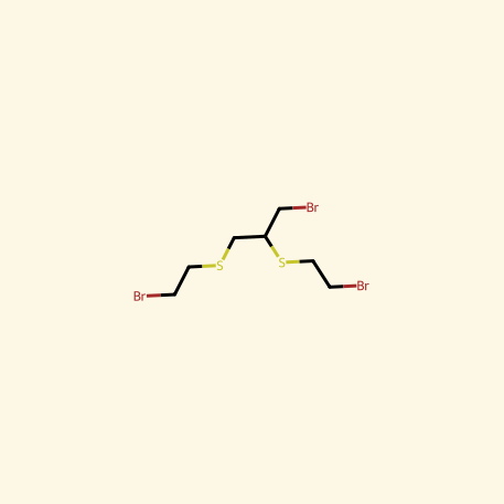 BrCCSCC(CBr)SCCBr